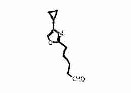 O=CCCCCc1nc(C2CC2)co1